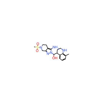 Cc1cccc2c1NCCC2C(O)n1nc2c(c1N)CCN(S(C)(=O)=O)C2